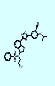 CC(C)Oc1ccc(-c2nc(-c3cccc4c3CCC4N(CCO)S(=O)(=O)c3ccccc3)no2)cc1C#N